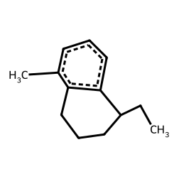 CCC1CCCc2c(C)cccc21